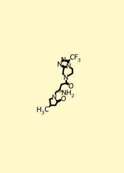 CC1CC(=O)N(C[C@@H](N)CC(=O)N2CCn3c(nnc3C(F)(F)F)C2)C1